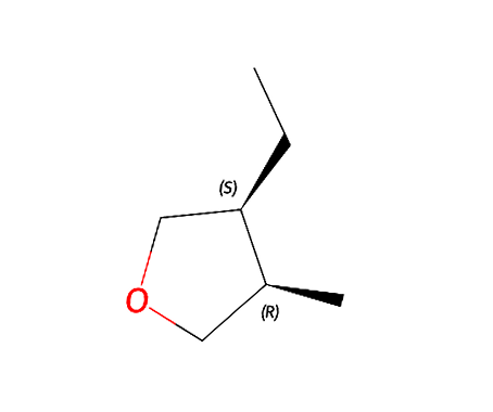 CC[C@@H]1COC[C@@H]1C